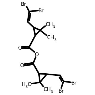 CC1(C)C(C=C(Br)Br)C1C(=O)OC(=O)C1C(C=C(Br)Br)C1(C)C